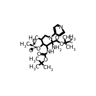 CC1CN(c2ccncc2)C(N)(C(=O)OC(C)(C)C)C(NC(=O)OC(C)(C)C)C1OS(C)(=O)=O